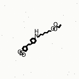 C=CC(=O)OOCCCCCCCNc1ccc(C=Cc2ccc(S(C)(=O)=O)cc2)cc1